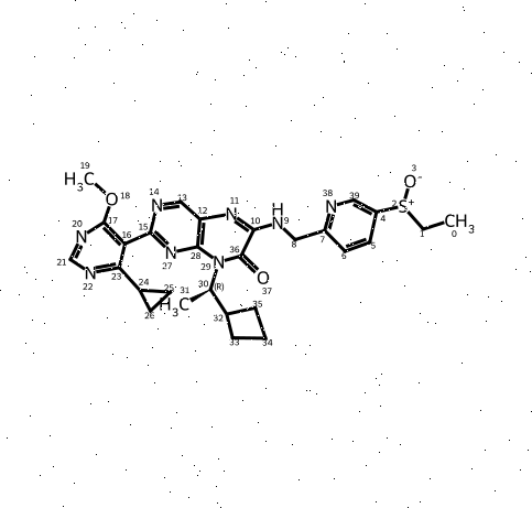 CC[S+]([O-])c1ccc(CNc2nc3cnc(-c4c(OC)ncnc4C4CC4)nc3n([C@H](C)C3CCC3)c2=O)nc1